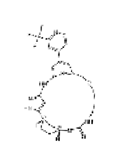 O=C1NCCCOCc2cc(-c3ccnc(C(F)(F)F)c3)cc(n2)Nc2cc([nH]n2)[C@H]2CC[C@H](C2)O1